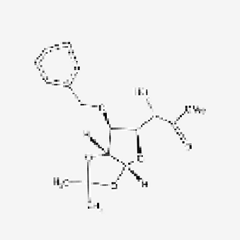 COC(=O)[C@@H](O)[C@H]1O[C@@H]2OC(C)(C)O[C@@H]2[C@H]1OCc1ccccc1